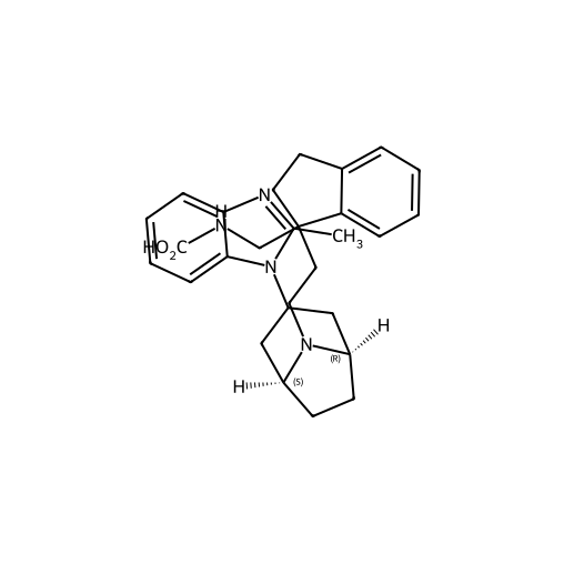 Cc1nc2ccccc2n1C1C[C@H]2CC[C@@H](C1)N2CCC1(CNC(=O)O)CCc2ccccc21